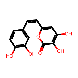 O=c1oc(/C=C\c2ccc(O)c(O)c2)cc(O)c1O